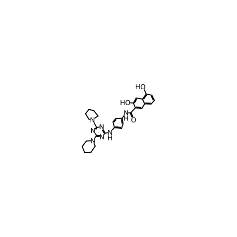 O=C(Nc1ccc(Nc2nc(N3CCCCC3)nc(N3CCCCC3)n2)cc1)c1cc2cccc(O)c2cc1O